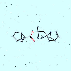 COC1(CC(C)(C)OC(=O)C2=CC3CCC2C3)CC2C=CC1C2